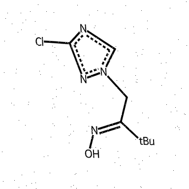 CC(C)(C)C(Cn1cnc(Cl)n1)=NO